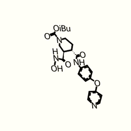 CC(C)COC(=O)N1CC[C@H](C(=O)Nc2ccc(Oc3ccncc3)cc2)[C@@H](C(=O)NO)C1